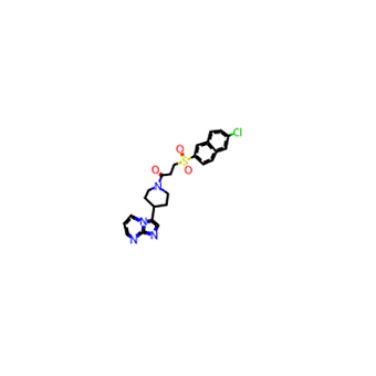 O=C(CCS(=O)(=O)c1ccc2cc(Cl)ccc2c1)N1CCC(c2cnc3ncccn23)CC1